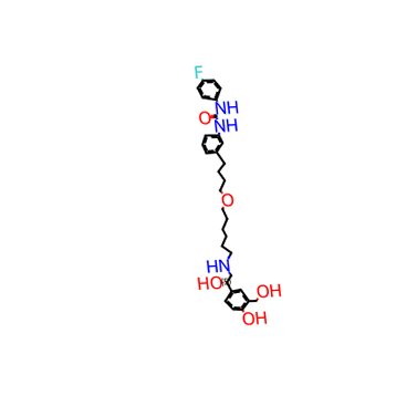 O=C(Nc1ccc(F)cc1)Nc1cccc(CCCCOCCCCCCNC[C@@H](O)c2ccc(O)c(CO)c2)c1